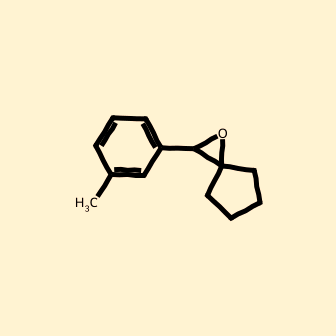 Cc1cccc(C2OC23CCCC3)c1